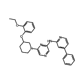 CCOc1ccccc1OC1CCCN(c2cncc(Nc3cc(-c4ccccc4)ccn3)n2)C1